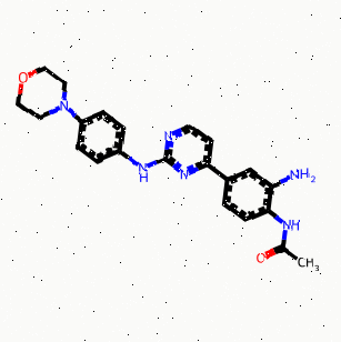 CC(=O)Nc1ccc(-c2ccnc(Nc3ccc(N4CCOCC4)cc3)n2)cc1N